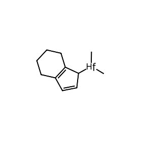 [CH3][Hf]([CH3])[CH]1C=CC2=C1CCCC2